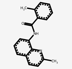 Cc1ccc2cccc(NC(=O)c3ccccc3C)c2n1